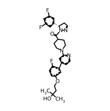 CC(C)(O)CCOc1ccc(F)c(-c2ccnc(N3CCC(C(=O)N4N=CC[C@H]4c4cc(F)cc(F)c4)CC3)c2)c1